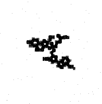 COC1[C@@H](OP(=O)(OC[C@H]2O[C@@H](n3cnc4c(N)ccnc43)C[C@H]2O)SCOC(=O)C(C)(C)C)[C@@H](CO)O[C@H]1n1ccc(=O)[nH]c1=O